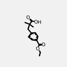 CCOC(=O)c1ccc(CC(C)(C)C(=O)O)cc1